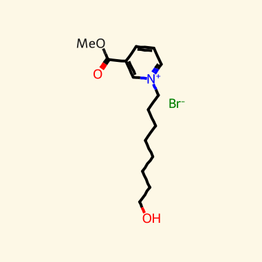 COC(=O)c1ccc[n+](CCCCCCCCO)c1.[Br-]